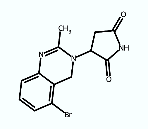 CC1=Nc2cccc(Br)c2CN1C1CC(=O)NC1=O